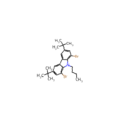 CCCCn1c2c(Br)cc(C(C)(C)C)cc2c2cc(C(C)(C)C)cc(Br)c21